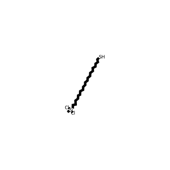 C[Si](Cl)(Cl)CCCCCCCCCCCCCCCCCCCCCCS